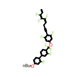 C=C/C(F)=C(F)\C(F)=C/CC#Cc1c(F)cc(OC(F)(F)c2ccc(-c3ccc(OCCCC)cc3F)cc2F)cc1F